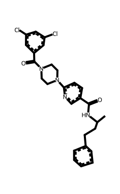 CC(CCc1ccccc1)NC(=O)c1ccc(N2CCN(C(=O)c3cc(Cl)cc(Cl)c3)CC2)nc1